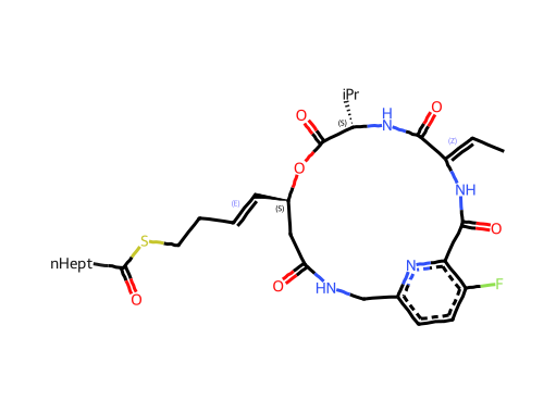 C/C=C1\NC(=O)c2nc(ccc2F)CNC(=O)C[C@@H](/C=C/CCSC(=O)CCCCCCC)OC(=O)[C@H](C(C)C)NC1=O